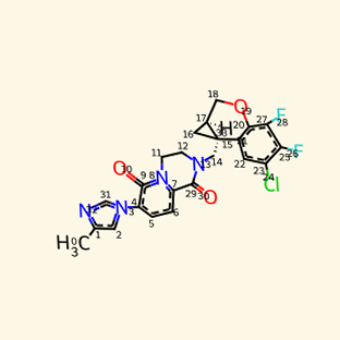 Cc1cn(-c2ccc3n(c2=O)CCN(C[C@]24C[C@H]2COc2c4cc(Cl)c(F)c2F)C3=O)cn1